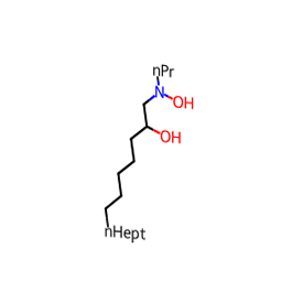 CCCCCCCCCCCCC(O)CN(O)CCC